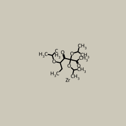 CCC(OC(C)C)C(=O)C(OC(C)C)(OC(C)C)C(C)=O.[Zr]